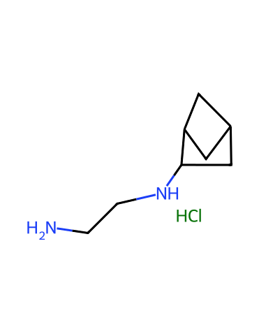 Cl.NCCNC1CC2CC1C2